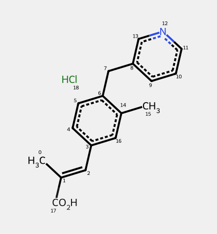 C/C(=C\c1ccc(Cc2cccnc2)c(C)c1)C(=O)O.Cl